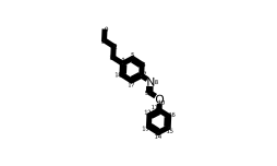 CCCCc1ccc(N=COc2ccccc2)cc1